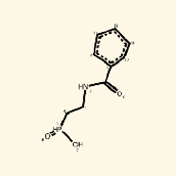 O=C(NCC[PH](=O)O)c1ccccc1